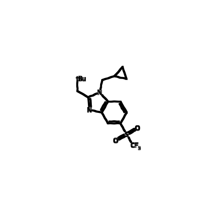 CC(C)(C)Cc1nc2cc(S(=O)(=O)C(F)(F)F)ccc2n1CC1CC1